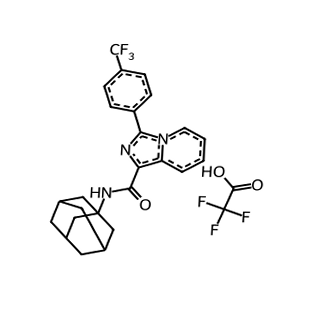 O=C(NC12CC3CC(CC(C3)C1)C2)c1nc(-c2ccc(C(F)(F)F)cc2)n2ccccc12.O=C(O)C(F)(F)F